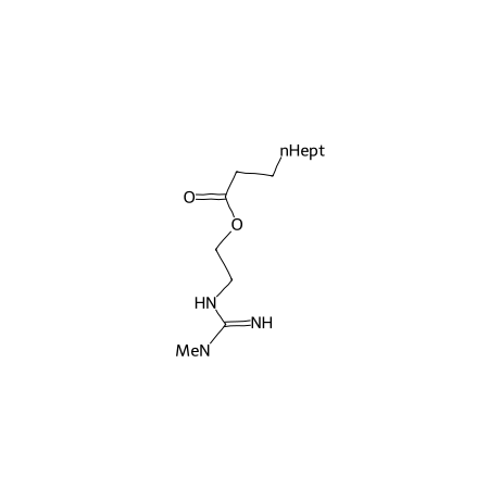 CCCCCCCCCC(=O)OCCNC(=N)NC